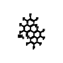 B.Fc1c(F)c(F)c2c(-c3c(F)c(F)c(F)c4c(F)c(F)c(F)c(F)c34)c(F)c(F)c(F)c2c1F